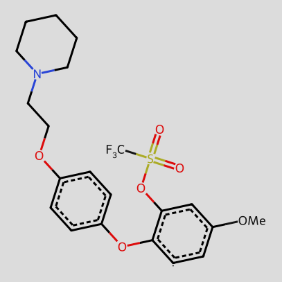 COc1c[c]c(Oc2ccc(OCCN3CCCCC3)cc2)c(OS(=O)(=O)C(F)(F)F)c1